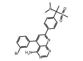 CN(C)C(C)(c1ccc(-c2cc(-c3cccc(Br)c3)c3c(N)ncnc3n2)cc1)S(C)(=O)=O